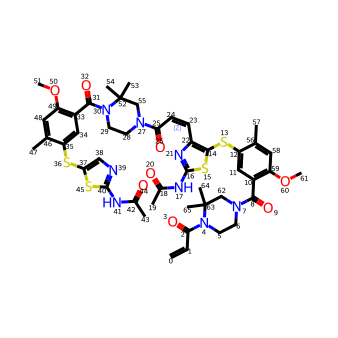 C=CC(=O)N1CCN(C(=O)c2cc(Sc3sc(NC(C)=O)nc3/C=C\C(=O)N3CCN(C(=O)c4cc(Sc5cnc(NC(C)=O)s5)c(C)cc4OC)C(C)(C)C3)c(C)cc2OC)CC1(C)C